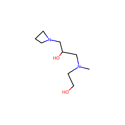 CN(CCO)CC(O)CN1CCC1